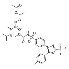 CC(=O)OC(C)O/N=[N+](\[O-])N(C)[C@H](COC(=O)NS(=O)(=O)c1ccc(-n2nc(C(F)(F)F)cc2-c2ccc(C)cc2)cc1)C(C)C